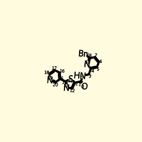 O=C(NCc1cccc(Br)n1)c1cnc(-c2cccnc2)s1